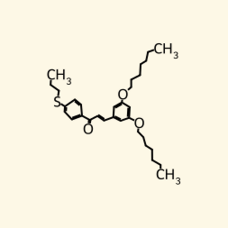 CCCCCCCOc1cc(C=CC(=O)c2ccc(SCCC)cc2)cc(OCCCCCCC)c1